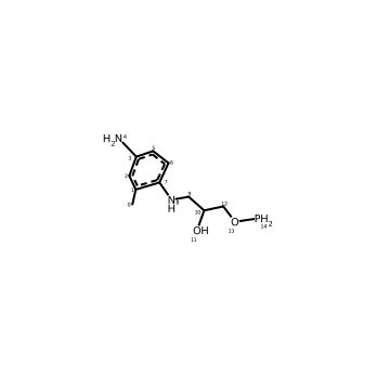 Cc1cc(N)ccc1NCC(O)COP